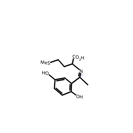 CSCCC(/N=C(/C)c1cc(O)ccc1O)C(=O)O